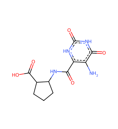 Nc1c(C(=O)NC2CCCC2C(=O)O)[nH]c(=O)[nH]c1=O